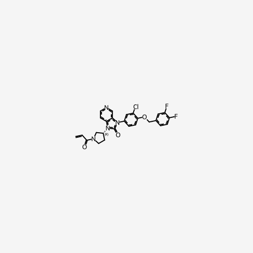 C=CC(=O)N1CC[C@@H](n2c(=O)n(-c3ccc(OCc4ccc(F)c(F)c4)c(Cl)c3)c3cnccc32)C1